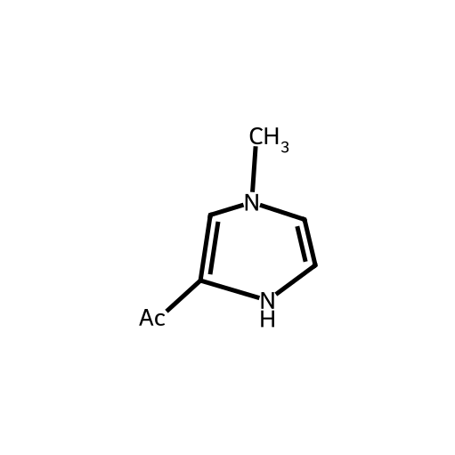 [CH2]C(=O)C1=CN(C)C=CN1